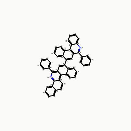 c1ccc(-c2nc3ccccc3c3c2cc(-c2cc4c(-c5ccccc5)nc5c6ccccc6ccc5c4c4ccccc24)c2ccccc23)cc1